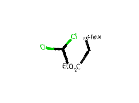 CC(Cl)Cl.CCCCCCCC(=O)OCC